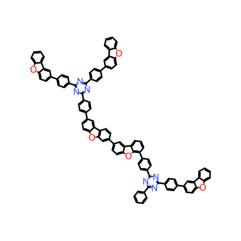 c1ccc(-c2nc(-c3ccc(-c4ccc5oc6ccccc6c5c4)cc3)nc(-c3ccc(-c4cccc5c4oc4ccc(-c6ccc7c(c6)oc6ccc(-c8ccc(-c9nc(-c%10ccc(-c%11ccc%12oc%13ccccc%13c%12c%11)cc%10)nc(-c%10ccc(-c%11ccc%12oc%13ccccc%13c%12c%11)cc%10)n9)cc8)cc67)cc45)cc3)n2)cc1